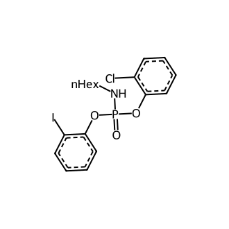 CCCCCCNP(=O)(Oc1ccccc1Cl)Oc1ccccc1I